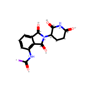 O=C(I)Nc1cccc2c1C(=O)N(C1CCC(=O)NC1=O)C2=O